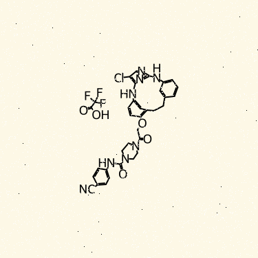 N#Cc1ccc(NC(=O)N2CCN(C(=O)COc3ccc4cc3CCc3cccc(c3)Nc3ncc(Cl)c(n3)N4)CC2)cc1.O=C(O)C(F)(F)F